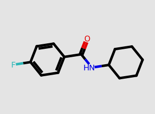 O=C(NC1CCCCC1)c1ccc(F)cc1